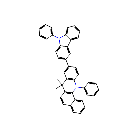 CC1(C)c2cc(-c3ccc4c(c3)c3ccccc3n4-c3ccccc3)ccc2N(c2ccccc2)c2c1ccc1ccccc21